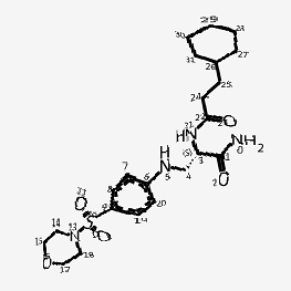 NC(=O)[C@H](CNc1ccc(S(=O)(=O)N2CCOCC2)cc1)NC(=O)[CH]CC1CCCCC1